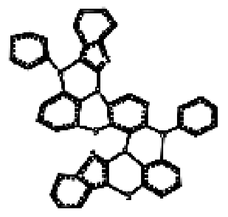 c1ccc(N2c3cccc4c3B(c3sc5ccccc5c3S4)c3c2ccc2c3Sc3cccc4c3B2c2sc3ccccc3c2N4c2ccccc2)cc1